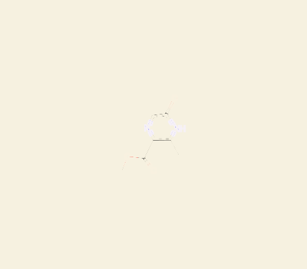 COC(=O)c1ncc(=O)[nH]c1C